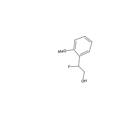 COc1ccccc1C(F)CO